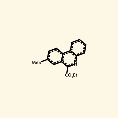 CCOC(=O)c1nc2ccccc2c2ccc(SC)cc12